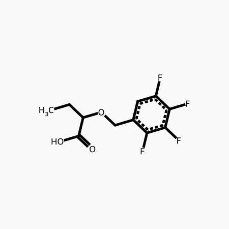 CCC(OCc1cc(F)c(F)c(F)c1F)C(=O)O